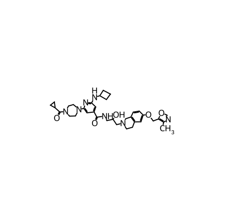 Cc1ncoc1COc1ccc2c(c1)CCN(CC(O)CNC(=O)c1cc(NC3CCC3)nc(N3CCN(C(=O)C4CC4)CC3)c1)C2